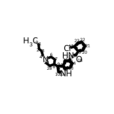 CCCCCN1CCC(c2c[nH]c3ccc(NC(=O)c4ccccc4Cl)cc23)CC1